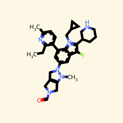 CCc1nc(C)ccc1-c1cc(N2CC3=C(CN(C=O)C3)N2C)cc2c(F)c(C3CCCNC3)n(CC3CC3)c12